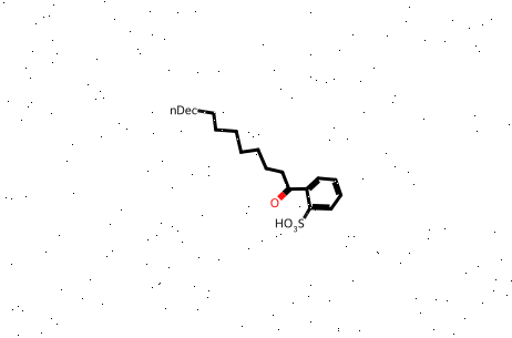 CCCCCCCCCCCCCCCCCC(=O)c1ccccc1S(=O)(=O)O